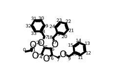 CC(=O)O[C@H]1O[C@H](COCc2ccccc2)[C@@H](OCc2ccccc2)[C@H]1OCc1ccccc1